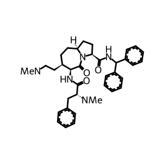 CNCC[C@H]1CC[C@H]2CC[C@@H](C(=O)NC(c3ccccc3)c3ccccc3)N2C(=O)[C@H]1NC(=O)[C@@H](Cc1ccccc1)NC